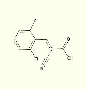 N#CC(=Cc1c(Cl)cccc1Cl)C(=O)O